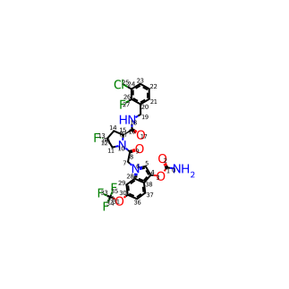 NC(=O)Oc1cn(CC(=O)N2C[C@H](F)C[C@H]2C(=O)NCc2cccc(Cl)c2F)c2cc(OC(F)(F)F)ccc12